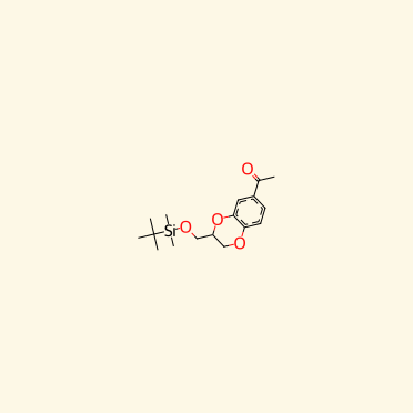 CC(=O)c1ccc2c(c1)OC(CO[Si](C)(C)C(C)(C)C)CO2